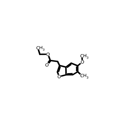 CCOC(=O)Cc1coc2cc(C)c(OC)cc12